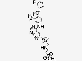 CS(=O)(=O)CCNCc1ccc(-c2cc3c(Nc4ccc(OCc5cccc(F)c5)c(C(F)(F)F)c4)ncnc3cn2)o1